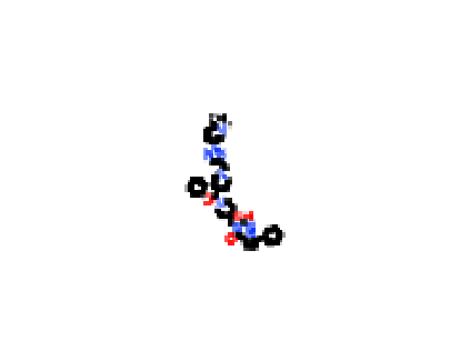 Cc1ccc(-n2ncc(CN3CC[C@@H](C(=O)N4CCC(O)(Cn5cnn6c(-c7ccccc7)ccc6c5=O)CC4)[C@H](c4ccccc4)C3)n2)cn1